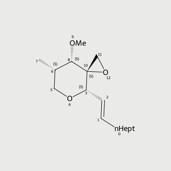 CCCCCCCC=C[C@@H]1OC[C@H](C)[C@H](OC)[C@@]12CO2